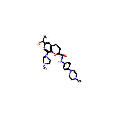 CC(=O)N1CCN(c2ccc(NC(=O)C3CCc4cc(C(C)O)cc(N5CCN(C)CC5)c4O3)cc2)CC1